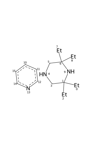 CCC1(CC)CNCC(CC)(CC)N1.c1ccncc1